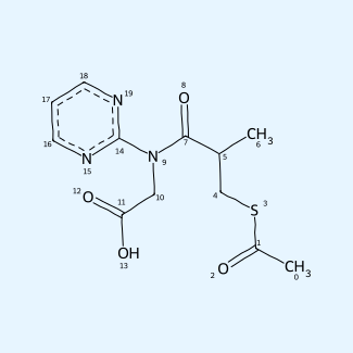 CC(=O)SCC(C)C(=O)N(CC(=O)O)c1ncccn1